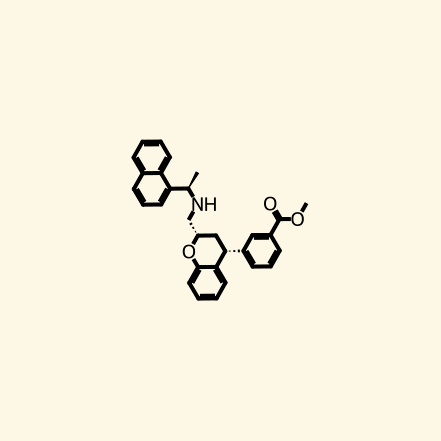 COC(=O)c1cccc([C@H]2C[C@@H](CN[C@H](C)c3cccc4ccccc34)Oc3ccccc32)c1